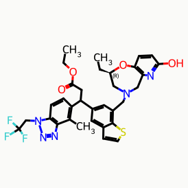 CCOC(=O)CC(c1cc(CN2Cc3nc(O)ccc3O[C@H](CC)C2)c2sccc2c1)c1ccc2c(nnn2CC(F)(F)F)c1C